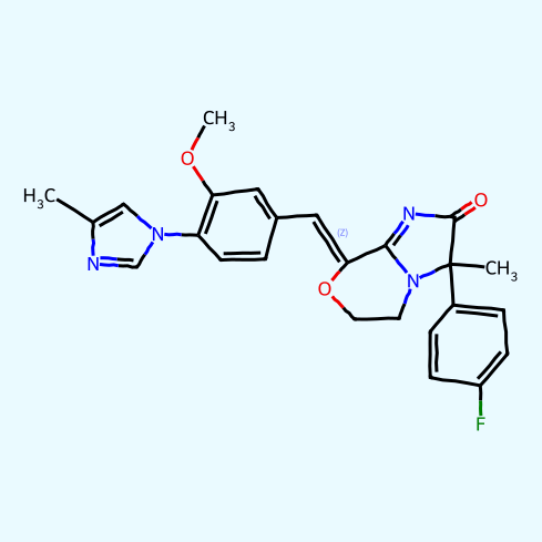 COc1cc(/C=C2\OCCN3C2=NC(=O)C3(C)c2ccc(F)cc2)ccc1-n1cnc(C)c1